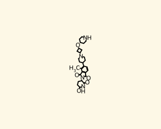 Cc1c(C2CCN([C@H]3C[C@H](OC4CCNCC4)C3)CC2)ccc2c1C(=O)N(C1CCC(=O)NC1=O)C2=O